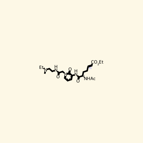 CCOC(=O)/C=C/CC[C@H](NC(C)=O)C(=O)Nc1cccn(CC(=O)NCCN(C)CC)c1=O